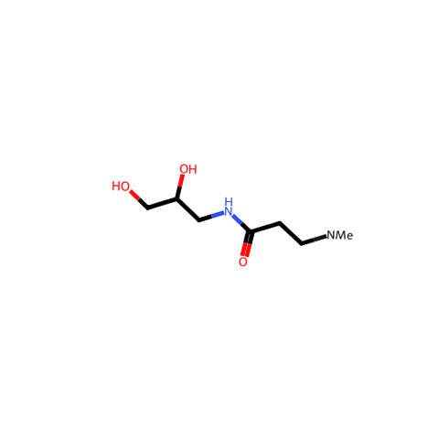 CNCCC(=O)NCC(O)CO